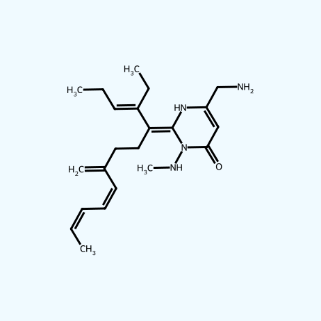 C=C(/C=C\C=C/C)CCC(/C(=C/CC)CC)=C1/NC(CN)=CC(=O)N1NC